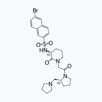 O=C1[C@@H](NS(=O)(=O)c2ccc3cc(Br)ccc3c2)CCCN1CC(=O)N1CCC[C@H]1CN1CCCC1